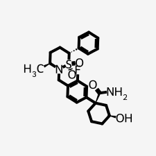 C[C@H]1CC[C@H](c2ccccc2)S(=O)(=O)N1Cc1ccc([C@@]2(C(N)=O)CCC[C@H](O)C2)cc1F